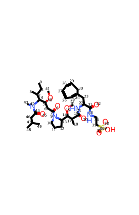 CCC(C)C(C(CC(=O)N1CCCC1C(OC)C(C)C(=O)NC(CC1=CC=CC=CC1)C(=O)NCCS(=O)(=O)O)OC)N(C)C(=O)CC(C)C